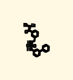 CCN(CC)C(=O)c1cccc(CNS(=O)(=O)Nc2cccc(-c3ccccc3)c2)c1